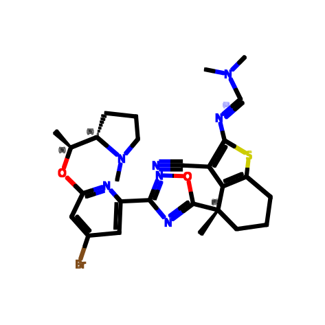 C[C@H](Oc1cc(Br)cc(-c2noc([C@@]3(C)CCCc4sc(/N=C/N(C)C)c(C#N)c43)n2)n1)[C@@H]1CCCN1C